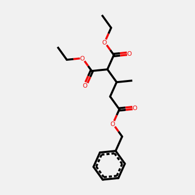 CCOC(=O)C(C(=O)OCC)C(C)CC(=O)OCc1ccccc1